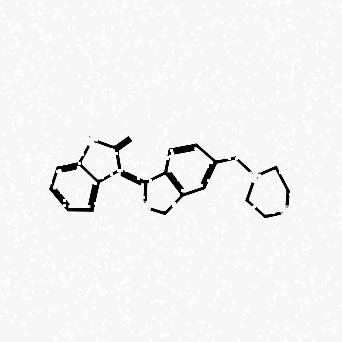 O=C1Nc2ccccc2/C1=C1\OCc2cc(CN3CCOCC3)ccc21